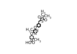 Cc1c(Oc2cccc(/C=C3\SC(=O)N(C(C)C)C3=O)c2)ncnc1OC1CCN(C(=O)O)C(C)C1